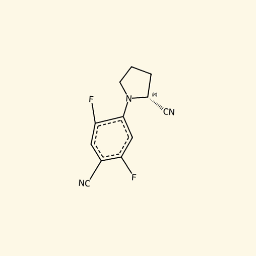 N#Cc1cc(F)c(N2CCC[C@@H]2C#N)cc1F